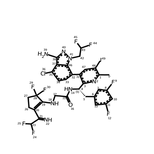 Cc1nc([C@H](Cc2cc(F)cc(F)c2)NC(=O)CNC2=C(C(=N)C(F)F)CCC2(F)F)c(-c2ccc(Cl)c3c(N)nn(CC(F)F)c23)cc1I